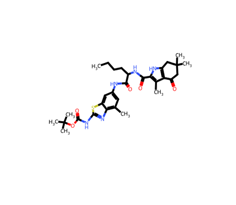 CCCCC(NC(=O)c1[nH]c2c(c1C)C(=O)CC(C)(C)C2)C(=O)Nc1cc(C)c2nc(NC(=O)OC(C)(C)C)sc2c1